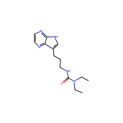 CCN(CC)C(=O)NCCCc1c[nH]c2nccnc12